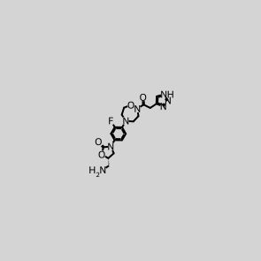 NC[C@H]1CN(c2ccc(N3CCON(C(=O)Cc4c[nH]nn4)CC3)c(F)c2)C(=O)O1